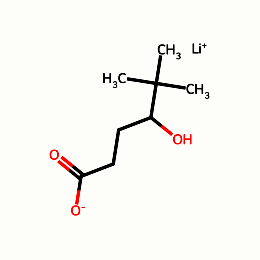 CC(C)(C)C(O)CCC(=O)[O-].[Li+]